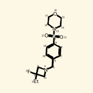 CCC1(F)CN(Cc2ccc(S(=O)(=O)N3CCOCC3)cc2)C1